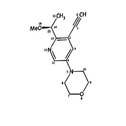 C#Cc1cc(N2CCOCC2)cnc1[C@H](C)OC